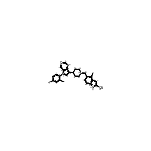 Cc1cc(F)ccc1-n1cc(C2CCN(Cc3ccc4[nH]c(C#N)cc4c3C)CC2)c2ncncc21